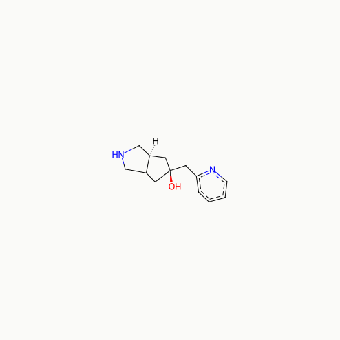 O[C@@]1(Cc2ccccn2)CC2CNC[C@H]2C1